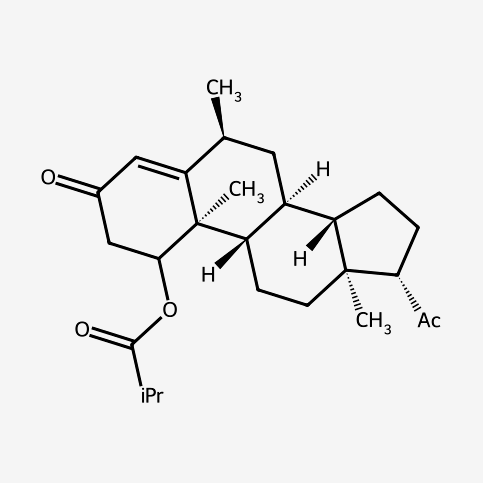 CC(=O)[C@H]1CC[C@H]2[C@@H]3C[C@H](C)C4=CC(=O)CC(OC(=O)C(C)C)[C@]4(C)[C@H]3CC[C@]12C